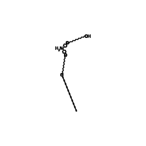 C#CC#CC#CC#CC#CC#CC#CC#CC#CC#CC#COCCCCCCCCCCCCOc1ccc(C(N)c2ccc(OCCCCCCCCCCCCO)cc2)cc1